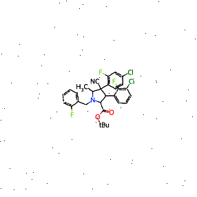 CC1N(Cc2ccccc2F)C(C(=O)OC(C)(C)C)C(c2cccc(Cl)c2F)C1(C#N)c1ccc(Cl)cc1F